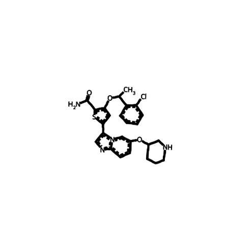 CC(Oc1cc(-c2cnc3ccc(OC4CCCNC4)cn23)sc1C(N)=O)c1ccccc1Cl